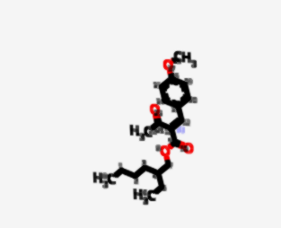 CCCCC(CC)COC(=O)/C(=C/c1ccc(OC)cc1)C(C)=O